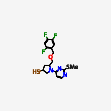 CSc1nccc(N2CC(S)CC2COCc2cc(F)c(F)cc2F)n1